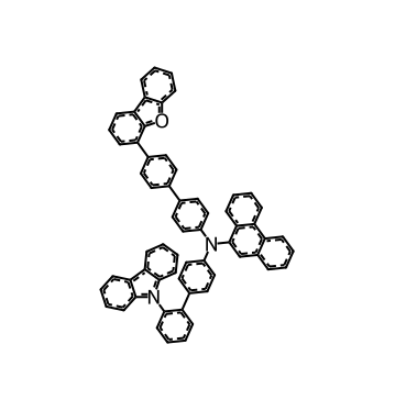 c1ccc(-n2c3ccccc3c3ccccc32)c(-c2ccc(N(c3ccc(-c4ccc(-c5cccc6c5oc5ccccc56)cc4)cc3)c3cc4ccccc4c4ccccc34)cc2)c1